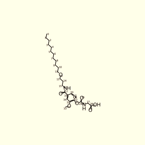 CCCCCCCCCCCCOCCCNC(=O)c1cnc(OC(=O)NCC(=O)O)c(OC)c1